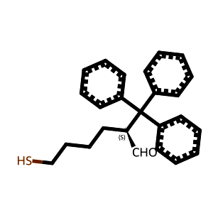 O=C[C@@H](CCCCS)C(c1ccccc1)(c1ccccc1)c1ccccc1